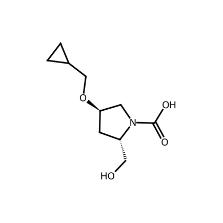 O=C(O)N1C[C@H](OCC2CC2)C[C@H]1CO